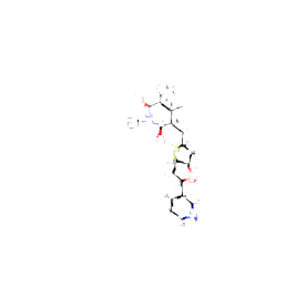 CCN1C(=O)C(C#N)=C(C)/C(=C/c2cc3oc(-c4cccnc4)cc3s2)C1=O